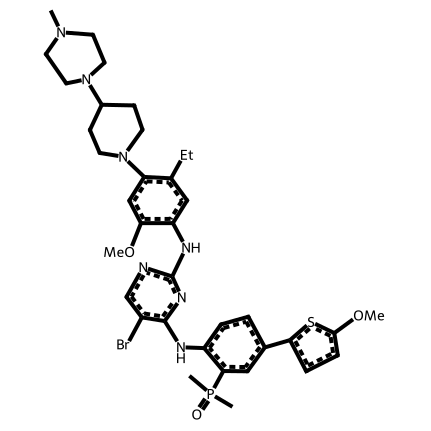 CCc1cc(Nc2ncc(Br)c(Nc3ccc(-c4ccc(OC)s4)cc3P(C)(C)=O)n2)c(OC)cc1N1CCC(N2CCN(C)CC2)CC1